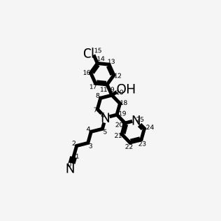 N#CCCCCN1CCC(O)(c2ccc(Cl)cc2)CC1c1ccccn1